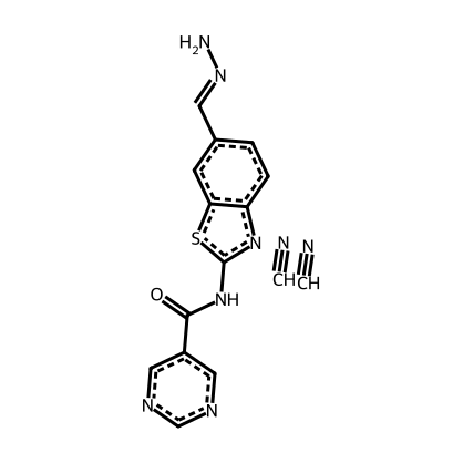 C#N.C#N.NN=Cc1ccc2nc(NC(=O)c3cncnc3)sc2c1